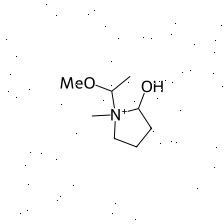 COC(C)[N+]1(C)CCCC1O